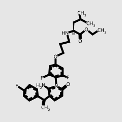 C=C(c1ccc(F)cc1)c1ccc(=O)n(-c2c(F)cc(OCCCN[C@@H](CC(C)C)C(=O)OCC)cc2F)c1N